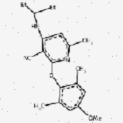 CCC(CC)Nc1cc(C)nc(Oc2c(C)cc(OC)cc2C)c1C#N